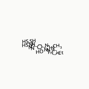 CC[C@@H]1CC[C@H](F)[C@H](N(C)c2cnc(-c3ccc(-c4nnn(C(S)(S)S)n4)cc3O)nn2)C1